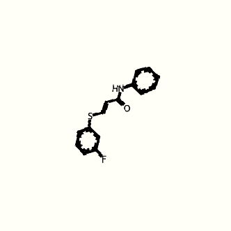 O=C(C=CSc1cccc(F)c1)Nc1ccccc1